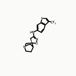 FC(F)(F)c1csc2cc(NC3=NO[C@@]4(C3)CN3CCC4CC3)ccc12